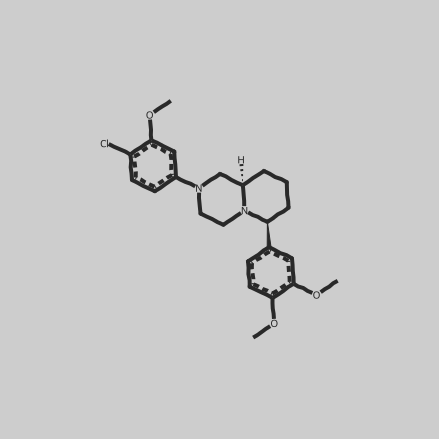 COc1cc(N2CCN3[C@H](CCC[C@H]3c3ccc(OC)c(OC)c3)C2)ccc1Cl